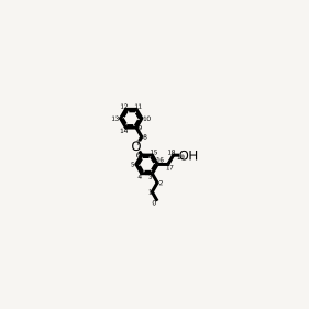 CCCc1ccc(OCc2ccccc2)cc1CCO